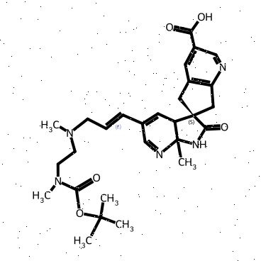 CN(C/C=C/C1=CC2C(C)(N=C1)NC(=O)[C@]21Cc2cc(C(=O)O)cnc2C1)CCN(C)C(=O)OC(C)(C)C